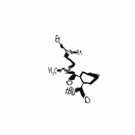 CCN(CC)CCN(C)C(=O)[C@H]1CCCC[C@H]1C(=O)C(C)(C)C